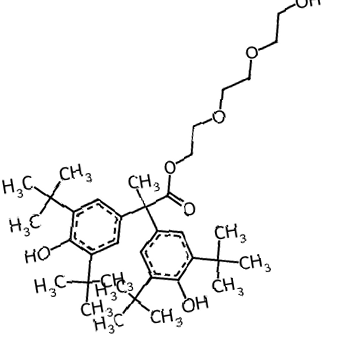 CC(C)(C)c1cc(C(C)(C(=O)OCCOCCOCCO)c2cc(C(C)(C)C)c(O)c(C(C)(C)C)c2)cc(C(C)(C)C)c1O